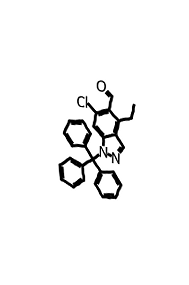 CCc1c(C=O)c(Cl)cc2c1cnn2C(c1ccccc1)(c1ccccc1)c1ccccc1